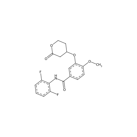 COc1ccc(C(=O)Nc2c(F)cccc2F)cc1OC1CCOC(=O)C1